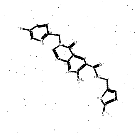 Cc1ccc(CNC(=O)c2cc3c(=O)n(Cc4ccc(F)cn4)ccc3nc2C)o1